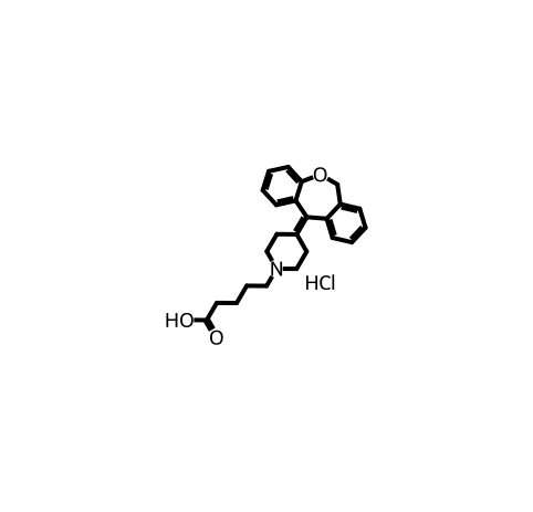 Cl.O=C(O)CCCCN1CCC(=C2c3ccccc3COc3ccccc32)CC1